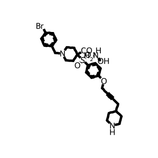 NO.O=C(O)C1(S(=O)(=O)c2ccc(OCC#CCC3CCNCC3)cc2)CCN(Cc2ccc(Br)cc2)CC1